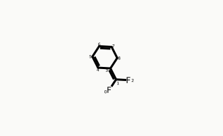 FC(F)=C1C=CC=CC1